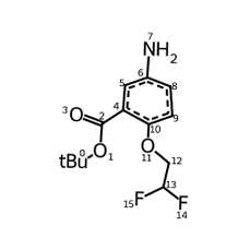 CC(C)(C)OC(=O)c1cc(N)ccc1OCC(F)F